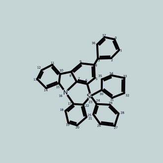 c1ccc(-c2cc3c4c(c2)c2ccccc2n4-c2ccccc2[Si]3(c2ccccc2)c2ccccc2)cc1